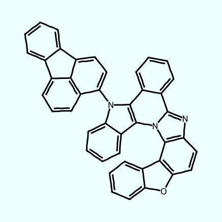 c1ccc2c(c1)-c1cccc3c(-n4c5ccccc5c5c4c4ccccc4c4nc6ccc7oc8ccccc8c7c6n45)ccc-2c13